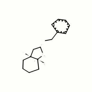 c1ccc(CO[C@H]2C[C@H]3CCCC[C@H]3N2)cc1